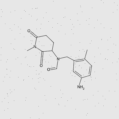 Cc1ccc(N)cc1CN(C=O)C1CCC(=O)N(C)C1=O